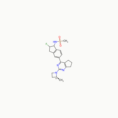 C[C@H]1CCN1c1nc2c(c(-c3ccc4c(c3)CC(F)C4NS(C)(=O)=O)n1)CCC2